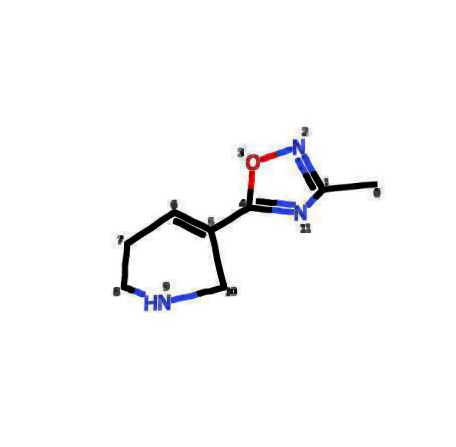 Cc1noc(C2=CCCNC2)n1